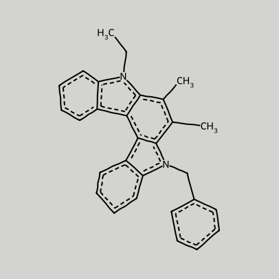 CCn1c2ccccc2c2c3c4ccccc4n(Cc4ccccc4)c3c(C)c(C)c21